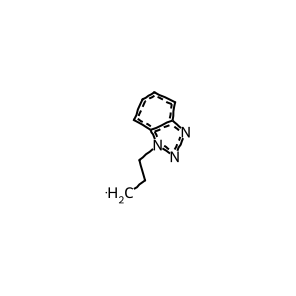 [CH2]CCn1nnc2ccccc21